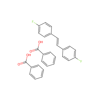 Fc1ccc(C=Cc2ccc(F)cc2)cc1.O=C(O)c1ccccc1.O=C(O)c1ccccc1